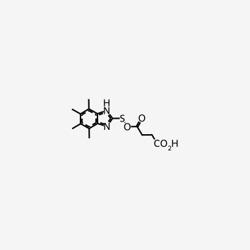 Cc1c(C)c(C)c2[nH]c(SOC(=O)CCC(=O)O)nc2c1C